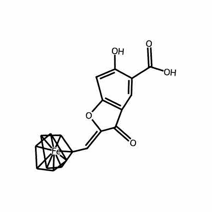 O=C(O)c1cc2c(cc1O)OC(=C[C]13[CH]4[CH]5[CH]6[CH]1[Fe]56431789[CH]3[CH]1[CH]7[CH]8[CH]39)C2=O